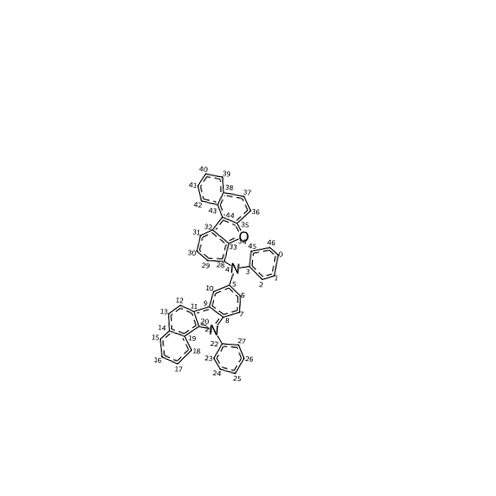 c1ccc(N(c2ccc3c(c2)c2ccc4ccccc4c2n3-c2ccccc2)c2cccc3c2oc2ccc4ccccc4c23)cc1